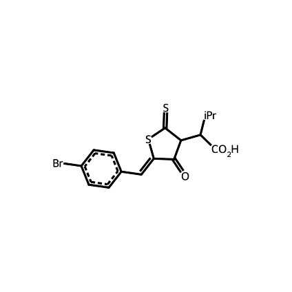 CC(C)C(C(=O)O)C1C(=O)/C(=C/c2ccc(Br)cc2)SC1=S